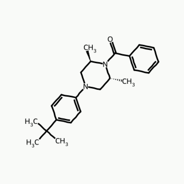 C[C@@H]1CN(c2ccc(C(C)(C)C)cc2)C[C@@H](C)N1C(=O)c1ccccc1